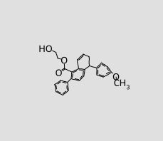 COc1ccc(C2CC=Cc3c2ccc(-c2ccccc2)c3C(=O)OCCO)cc1